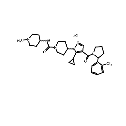 CN1CCC(NC(=O)N2CCC(n3ncc(C(=O)N4CCCC4c4ccccc4C(F)(F)F)c3C3CC3)CC2)CC1.Cl